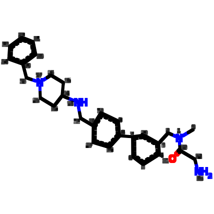 CN(Cc1cccc(-c2ccc(CNC3CCN(Cc4ccccc4)CC3)cc2)c1)C(=O)CN